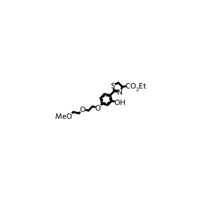 CCOC(=O)C1CSC(c2ccc(OCCOCCOC)cc2O)=N1